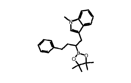 Cn1cc(CC(CCc2ccccc2)B2OC(C)(C)C(C)(C)O2)c2ccccc21